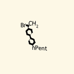 C=C(Br)[C@H]1CC[C@H]([C@H]2CC[C@H](CCCCC)CC2)CC1